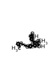 CCc1ccccc1OCCCCOc1ccc(C2CCN(C(=O)O)CC2OC(CCCOC)c2ccc3c(c2)NC(=O)CC3)cc1